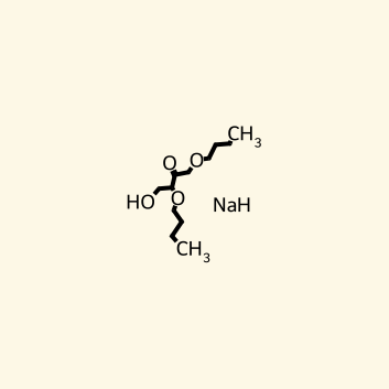 CCCCOCC(=O)C(CO)OCCCC.[NaH]